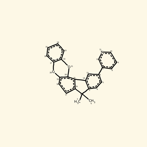 CC1(C)c2ccc(-c3cccnc3)cc2-c2c1ccc1c2Oc2ccccc2O1